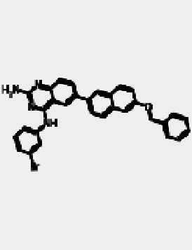 Nc1nc(Nc2cccc(Br)c2)c2cc(-c3ccc4cc(OCc5ccccc5)ccc4c3)ccc2n1